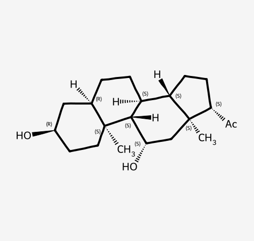 CC(=O)[C@H]1CC[C@H]2[C@@H]3CC[C@@H]4C[C@H](O)CC[C@]4(C)[C@H]3[C@@H](O)C[C@]12C